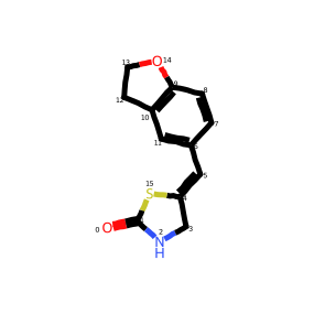 O=C1NCC(=Cc2ccc3c(c2)CCO3)S1